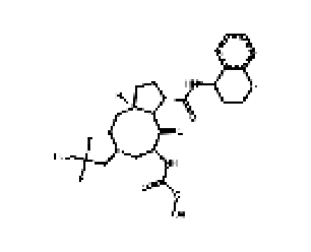 CC(F)(F)CN1CC[C@H]2CC[C@@H](C(=O)N[C@@H]3CCOc4ccccc43)N2C(=O)[C@@H](NC(=O)OC(C)(C)C)C1